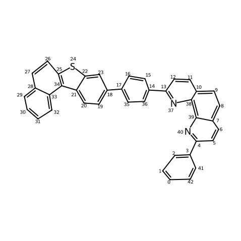 c1ccc(-c2ccc3ccc4ccc(-c5ccc(-c6ccc7c(c6)sc6ccc8ccccc8c67)cc5)nc4c3n2)cc1